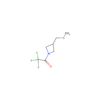 CSCC1CN(C(=O)C(F)(F)F)C1